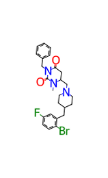 CN1C(=O)N(Cc2ccccc2)C(=O)CC1CN1CCC(Cc2cc(F)ccc2Br)CC1